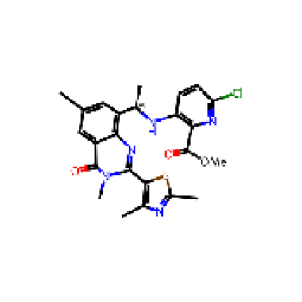 COC(=O)c1nc(Cl)ccc1N[C@H](C)c1cc(C)cc2c(=O)n(C)c(-c3sc(C)nc3C)nc12